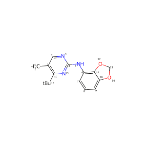 Cc1cnc(Nc2cccc3c2OCO3)nc1C(C)(C)C